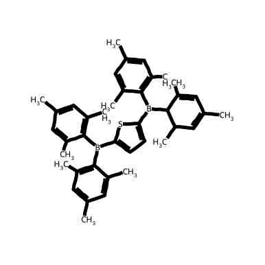 CC1=CC(C)C(B(c2ccc(B(c3c(C)cc(C)cc3C)c3c(C)cc(C)cc3C)s2)c2c(C)cc(C)cc2C)C(C)=C1